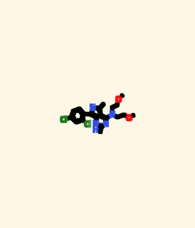 COCCN(CCOC)c1nc(C)[nH]c2c(-c3ccc(Cl)cc3Cl)nc(C)c1-2